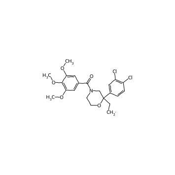 [CH2]CC1(c2ccc(Cl)c(Cl)c2)CN(C(=O)c2cc(OC)c(OC)c(OC)c2)CCO1